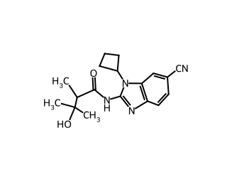 CC(C(=O)Nc1nc2ccc(C#N)cc2n1C1CCC1)C(C)(C)O